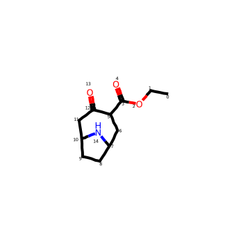 CCOC(=O)C1CC2CCC(CC1=O)N2